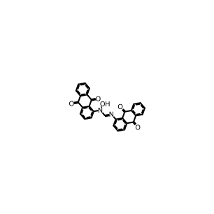 O=C1c2ccccc2C(=O)c2c(N=CN(O)c3cccc4c3C(=O)c3ccccc3C4=O)cccc21